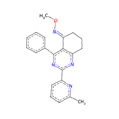 CO/N=C1\CCCc2nc(-c3cccc(C)n3)nc(-c3ccccc3)c21